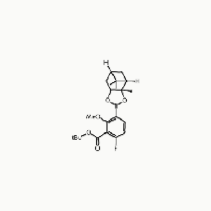 COc1c(B2OC3C[C@@H]4C[C@@H](C4(C)C)[C@]3(C)O2)ccc(F)c1C(=O)OC(C)(C)C